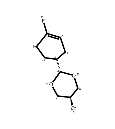 CC[C@H]1CO[C@H](C2CC=C(F)CC2)OC1